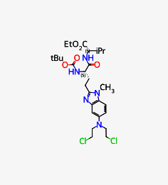 CCOC(=O)[C@@H](NC(=O)[C@H](CCc1nc2cc(N(CCCl)CCCl)ccc2n1C)NC(=O)OC(C)(C)C)C(C)C